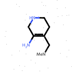 CNCC1=C(N)CNCC1